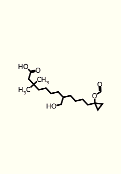 CC(C)(CCCCC(CO)CCCCC1(OC=O)CC1)CC(=O)O